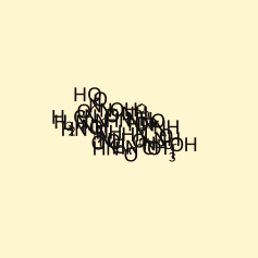 CC(=O)CN1CCN(CC(=O)O)CCN(CC(=O)O)CCN(CC(=O)N[C@@H](CCCNC(=N)N)C(=O)NCC(=O)Nc2ccc(C(=O)NCCC[C@@H]3C(=O)N[C@@H](CCCNC(=N)N)C(=O)N[C@@H](Cc4ccc5ccccc5c4)C(=O)NCC(=O)N[C@H](Cc4ccc(O)c(I)c4)C(=O)N3C)cc2)CC1